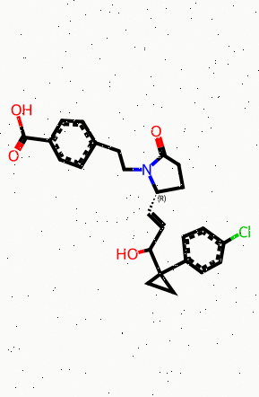 O=C(O)c1ccc(CCN2C(=O)CC[C@@H]2C=CC(O)C2(c3ccc(Cl)cc3)CC2)cc1